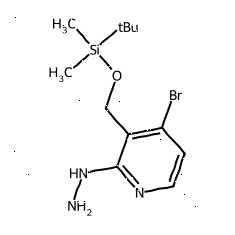 CC(C)(C)[Si](C)(C)OCc1c(Br)ccnc1NN